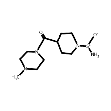 CN1CCN(C(=O)C2CCN([S+](N)[O-])CC2)CC1